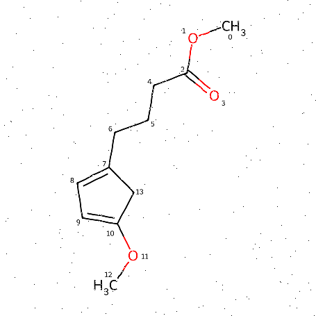 COC(=O)CCCC1=CC=C(OC)C1